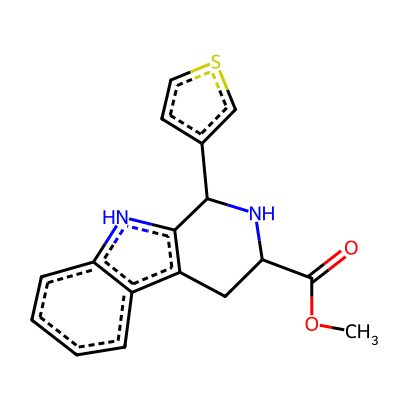 COC(=O)C1Cc2c([nH]c3ccccc23)C(c2ccsc2)N1